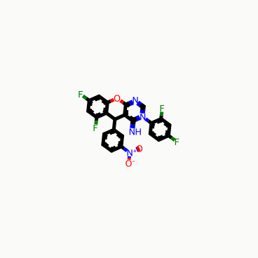 N=c1c2c(ncn1-c1ccc(F)cc1F)Oc1cc(F)cc(F)c1C2c1cccc([N+](=O)[O-])c1